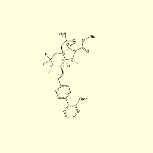 COc1ncccc1-c1ccc(/C=C/[C@@H]2[C@@H]3[C@@H](C)N(C(=O)OC(C)(C)C)S(=O)(=O)[C@@]3(CC(N)=O)CC(F)(F)[C@H]2C)nc1